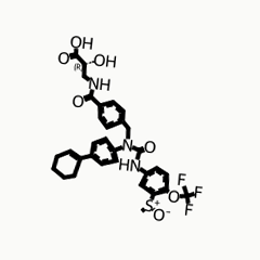 C[S+]([O-])c1cc(NC(=O)N(Cc2ccc(C(=O)NC[C@@H](O)C(=O)O)cc2)c2ccc(C3=CCCCC3)cc2)ccc1OC(F)(F)F